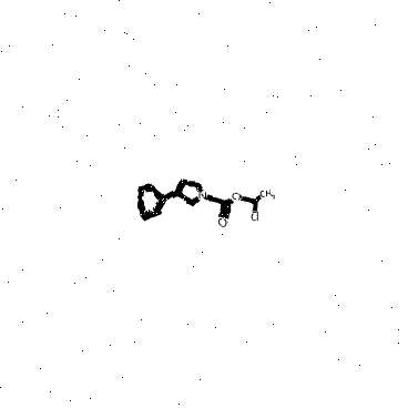 CC(Cl)OC(=O)N1CCC(c2ccccc2)C1